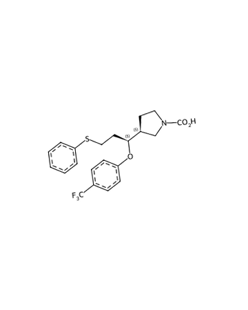 O=C(O)N1CC[C@H]([C@H](CCSc2ccccc2)Oc2ccc(C(F)(F)F)cc2)C1